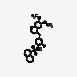 COc1cc2nccc(Cc3ccc(NS(=O)(=O)c4cccc5ccccc45)c(F)c3)c2cc1OC